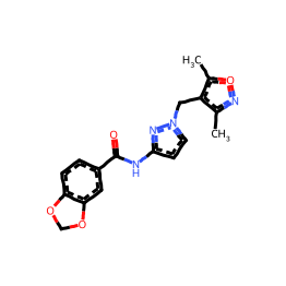 Cc1noc(C)c1Cn1ccc(NC(=O)c2ccc3c(c2)OCO3)n1